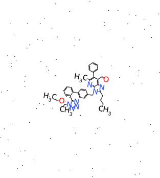 CCCCc1nc2c(C=O)c(-c3ccccc3)c(C)nc2n1Cc1ccc(-c2ccccc2-c2nnnn2C(C)OCC)cc1